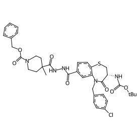 CC(C)(C)OC(=O)N[C@H]1CSc2ccc(C(=O)NNC(=O)C3(C)CCN(C(=O)OCc4ccccc4)CC3)cc2N(Cc2ccc(Cl)cc2)C1=O